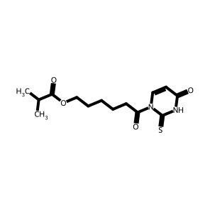 CC(C)C(=O)OCCCCCC(=O)n1ccc(=O)[nH]c1=S